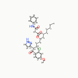 CCCCCCCC(CCC(Cl)C(C(=O)c1ccc(OC)cc1)c1cc[nH]n1)OC(=O)CC(=O)Nc1ccccc1